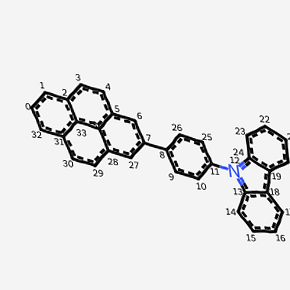 c1cc2ccc3cc(-c4ccc(-n5c6ccccc6c6ccccc65)cc4)cc4ccc(c1)c2c34